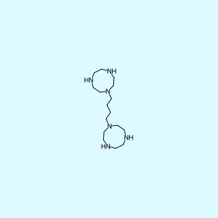 C(CCN1CCNCCNCC1)CN1CCNCCNCC1